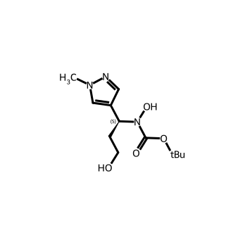 Cn1cc([C@H](CCO)N(O)C(=O)OC(C)(C)C)cn1